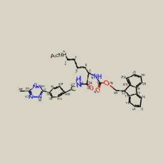 CC(=O)NCCCCC(NC(=O)OCC1c2ccccc2-c2ccccc21)C(=O)NCc1ccc(-c2nnc(C)nn2)cc1